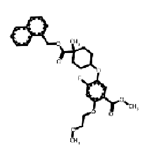 COCCOc1cc(F)c(OC2CCC(C)(C(=O)OCc3cccc4ccccc34)CC2)cc1C(=O)OC